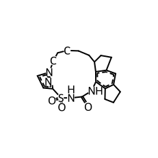 O=C1Nc2c3c(cc4c2C(CCCCCn2ccc(n2)S(=O)(=O)N1)CC4)CCC3